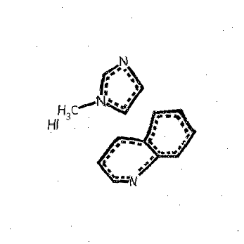 Cn1ccnc1.I.c1ccc2ncccc2c1